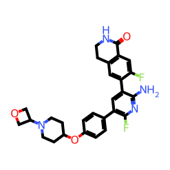 Nc1nc(F)c(-c2ccc(OC3CCN(C4COC4)CC3)cc2)cc1-c1cc2c(cc1F)C(=O)NCC2